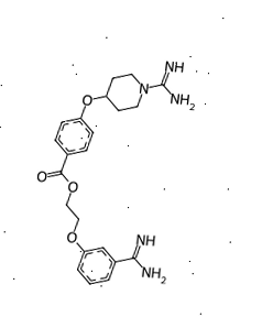 N=C(N)c1cccc(OCCOC(=O)c2ccc(OC3CCN(C(=N)N)CC3)cc2)c1